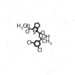 COC(=O)c1sc(C(=O)CC(C)(O)c2cc(Cl)cc(Cl)c2)c2c1CCC2